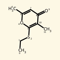 CCSc1oc(C)cc(=O)c1C